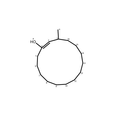 CC1/C=C(/O)CCCCCCCCCCCC1